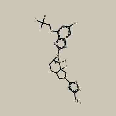 Cc1nsc(N2CC3CC[C@@H]4[C@H]([C@@H]3C2)N4c2nc3c(OCC(F)(F)F)cc(Cl)cn3n2)n1